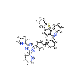 c1ccc(-c2nc(-c3ccc(-c4cccc(-c5nc6ccccc6c6c5ccc5c7ccccc7sc56)c4)cc3)nc(-c3ccccn3)n2)nc1